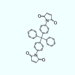 O=C1C=CC(=O)N1c1ccc(C(c2ccccc2)(c2ccccc2)c2ccc(N3C(=O)C=CC3=O)cc2)cc1